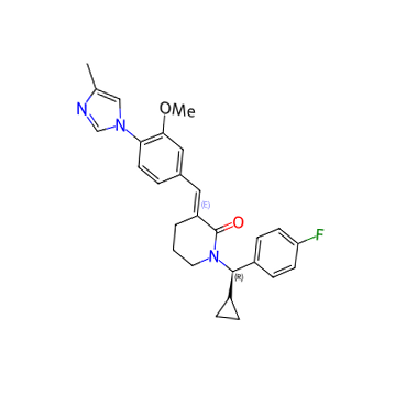 COc1cc(/C=C2\CCCN([C@@H](c3ccc(F)cc3)C3CC3)C2=O)ccc1-n1cnc(C)c1